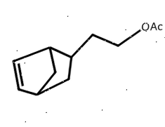 CC(=O)OCCC1CC2C=CC1C2